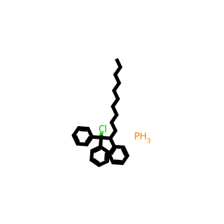 CCCCCCCCCCC(c1ccccc1)C(Cl)(c1ccccc1)c1ccccc1.P